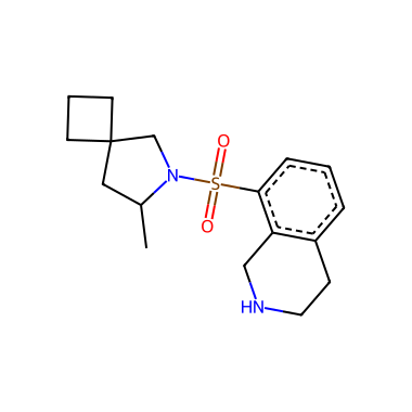 CC1CC2(CCC2)CN1S(=O)(=O)c1cccc2c1CNCC2